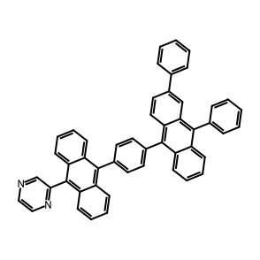 c1ccc(-c2ccc3c(-c4ccc(-c5c6ccccc6c(-c6cnccn6)c6ccccc56)cc4)c4ccccc4c(-c4ccccc4)c3c2)cc1